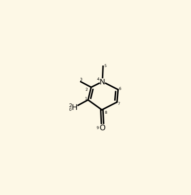 [2H]c1c(C)n(C)ccc1=O